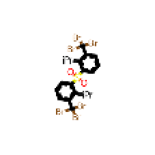 CC(C)c1c(C(Br)(Br)Br)cccc1S(=O)(=O)c1cccc(C(Br)(Br)Br)c1C(C)C